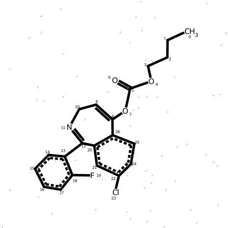 CCCCOC(=O)OC1=CCN=C(c2ccccc2F)c2cc(Cl)ccc21